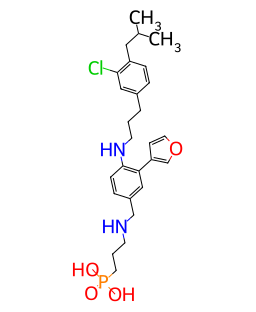 CC(C)Cc1ccc(CCCNc2ccc(CNCCCP(=O)(O)O)cc2-c2ccoc2)cc1Cl